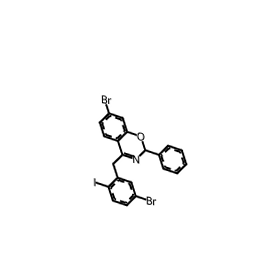 Brc1ccc(I)c(CC2=NC(c3ccccc3)Oc3cc(Br)ccc32)c1